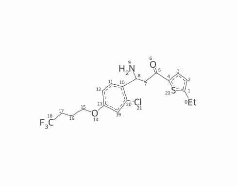 CCc1ccc(C(=O)CC(N)c2ccc(OCCCC(F)(F)F)cc2Cl)s1